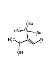 CC/C=[C](/C(C)O)[Sn]([CH2]CCC)([CH2]CCC)[CH2]CCC